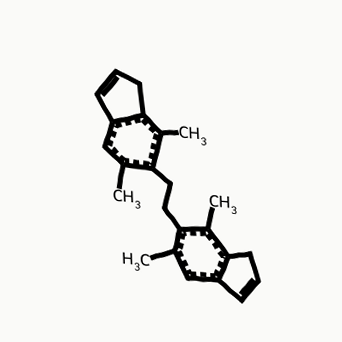 Cc1cc2c(c(C)c1CCc1c(C)cc3c(c1C)CC=C3)CC=C2